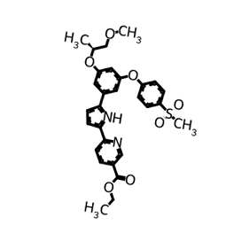 CCOC(=O)c1ccc(-c2ccc(-c3cc(Oc4ccc(S(C)(=O)=O)cc4)cc(O[C@@H](C)COC)c3)[nH]2)nc1